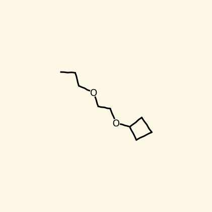 CCCOCCOC1CCC1